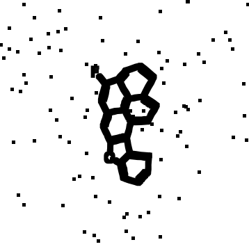 Fc1cc2cc3oc4ccccc4c3c3ccc4cccc1c4c23